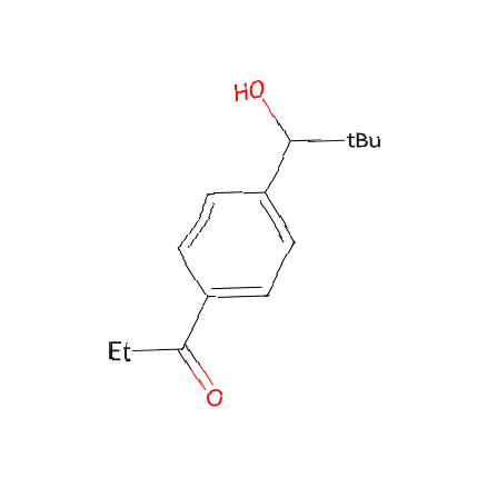 CCC(=O)c1ccc(C(O)C(C)(C)C)cc1